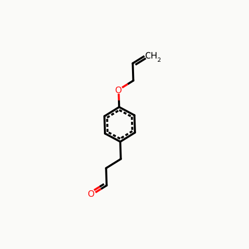 C=CCOc1ccc(CCC=O)cc1